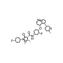 Cc1ccc(-c2ccn3nccc(Oc4ccc(NC(=O)c5c(C)n(C)n(-c6ccc(F)cc6)c5=O)cc4F)c23)cn1